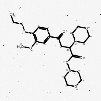 CCCOc1ccc(C(=O)CC(C(=O)ON2CCOCC2)N2CCOCC2)cc1OC